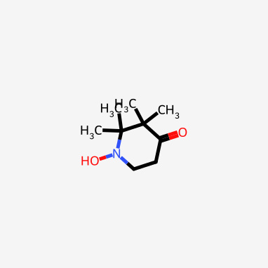 CC1(C)C(=O)CCN(O)C1(C)C